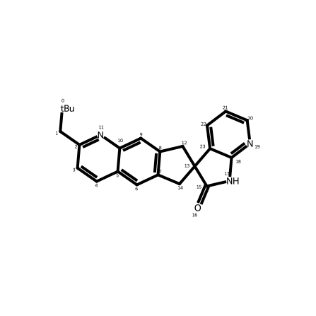 CC(C)(C)Cc1ccc2cc3c(cc2n1)CC1(C3)C(=O)Nc2ncccc21